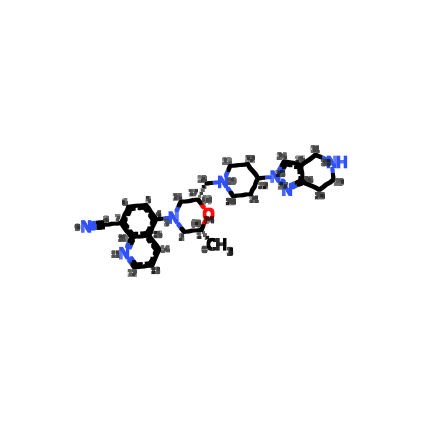 C[C@@H]1CN(c2ccc(C#N)c3ncccc23)C[C@H](CN2CCC(n3cc4c(n3)CCNC4)CC2)O1